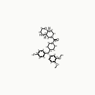 COc1ccc([C@H](c2ccc(F)cc2)C2CCN(C(=O)N3CC[C@@H]4OCCN[C@@H]4C3)CC2)cc1OC